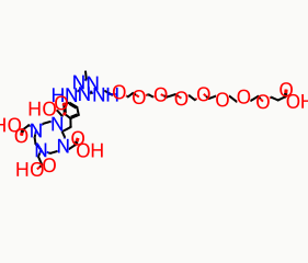 Cc1nc(NCCOCCOCCOCCOCCOCCOCCOCCOCCC(=O)O)nc(Nc2ccc(CC3CN(CC(=O)O)CCN(CC(=O)O)CCN(CC(=O)O)CCN3CC(=O)O)cc2)n1